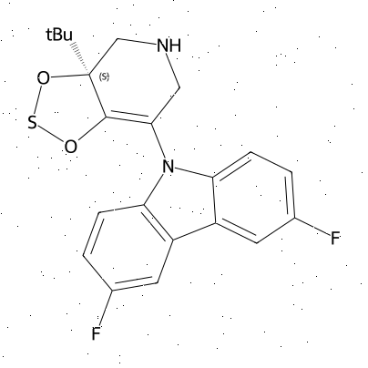 CC(C)(C)[C@]12CNCC(n3c4ccc(F)cc4c4cc(F)ccc43)=C1OSO2